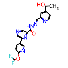 CC(O)c1ccnc(/C=N/NC(=O)c2cncc(-c3ccc(OC(F)F)nc3)n2)c1